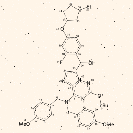 CCCCOc1nc(N(Cc2ccc(OC)cc2)Cc2ccc(OC)cc2)c2ncc(C(O)c3ccc(OC4CCN(CC)C4)cc3F)n2n1